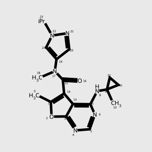 Cc1oc2ncnc(NC3(C)CC3)c2c1C(=O)N(C)c1cnn(C(C)C)c1